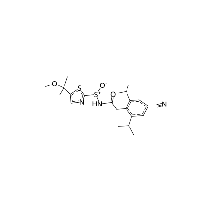 COC(C)(C)c1cnc([S+]([O-])NC(=O)Cc2c(C(C)C)cc(C#N)cc2C(C)C)s1